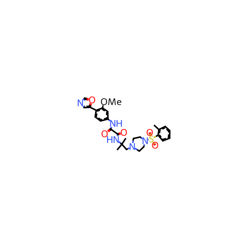 COc1cc(NC(=O)C(=O)NC(C)(C)CN2CCN(S(=O)(=O)c3ccccc3C)CC2)ccc1-c1cnco1